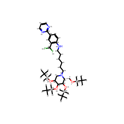 CC(C)(C)[Si](C)(C)OC[C@@H]1C(O[Si](C)(C)C(C)(C)C)C(O[Si](C)(C)C(C)(C)C)C(O[Si](C)(C)C(C)(C)C)CN1CCCCCCNc1ccc(-c2ncccn2)cc1C(F)F